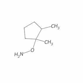 CC1CCCC1(C)ON